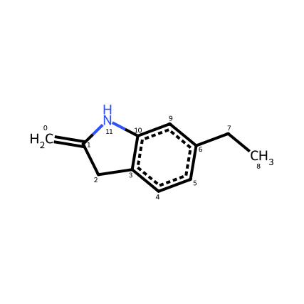 C=C1Cc2ccc(CC)cc2N1